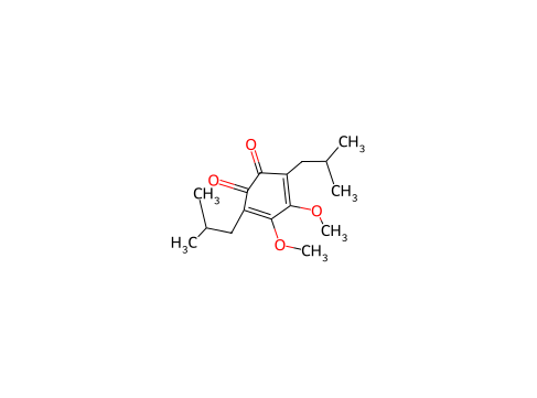 COC1=C(CC(C)C)C(=O)C(=O)C(CC(C)C)=C1OC